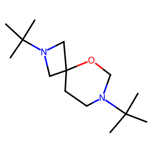 CC(C)(C)N1CCC2(CN(C(C)(C)C)C2)OC1